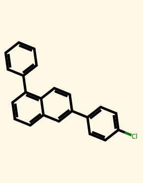 Clc1ccc(-c2ccc3c(-c4ccccc4)cccc3c2)cc1